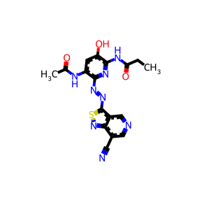 CCC(=O)Nc1nc(/N=N/c2snc3c(C#N)cncc23)c(NC(C)=O)cc1O